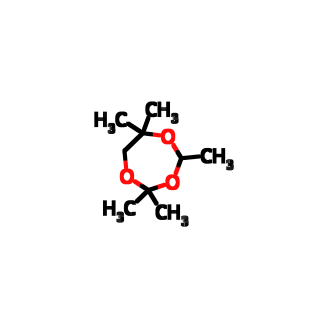 CC1OC(C)(C)COC(C)(C)O1